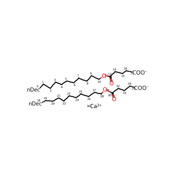 CCCCCCCCCCCCCCCCCCCCOC(=O)CCCC(=O)[O-].CCCCCCCCCCCCCCCCCCCCOC(=O)CCCC(=O)[O-].[Ca+2]